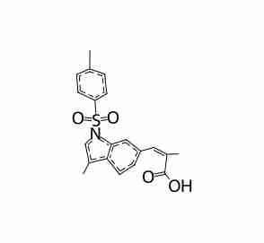 CC(=Cc1ccc2c(C)cn(S(=O)(=O)c3ccc(C)cc3)c2c1)C(=O)O